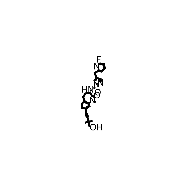 CN1C(=O)[C@@H](NC(=O)n2cc(Cc3cccc(F)n3)cn2)CCc2ccc(C#CC(C)(C)CO)cc21